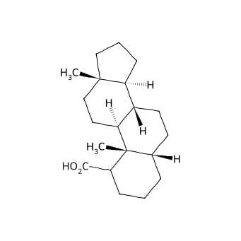 C[C@@]12CCC[C@H]1[C@@H]1CC[C@@H]3CCCC(C(=O)O)[C@]3(C)[C@H]1CC2